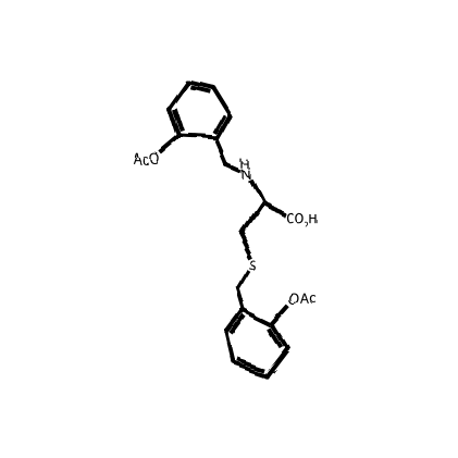 CC(=O)Oc1ccccc1CNC(CSCc1ccccc1OC(C)=O)C(=O)O